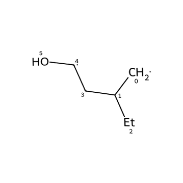 [CH2]C(CC)C[CH]O